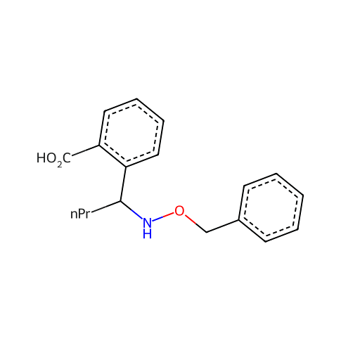 CCCC(NOCc1ccccc1)c1ccccc1C(=O)O